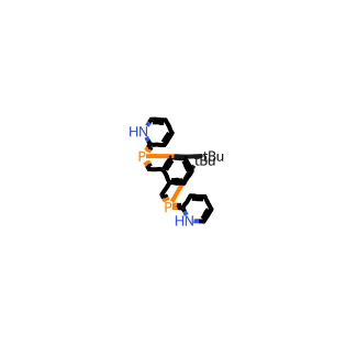 CC(C)(C)/P(=C/c1ccccc1/C=P(=c1\cccc[nH]1)/C(C)(C)C)=c1/cccc[nH]1